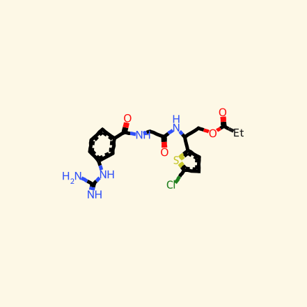 CCC(=O)OCC(NC(=O)CNC(=O)c1cccc(NC(=N)N)c1)c1ccc(Cl)s1